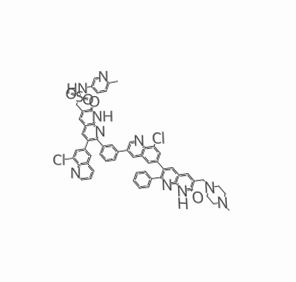 Cc1ccc(NS(=O)(=O)Cc2cc3cc(-c4cc(Cl)c5ncccc5c4)c(-c4cccc(-c5cnc6c(Cl)cc(-c7cc8cc(CN9CCN(C)CC9)c(=O)[nH]c8nc7-c7ccccc7)cc6c5)c4)nc3[nH]c2=O)cn1